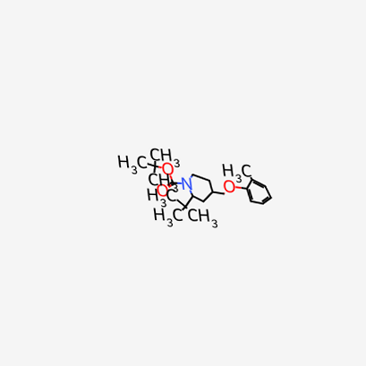 Cc1ccccc1OCC1CCN(C(=O)OC(C)(C)C)C(C(C)(C)C)C1